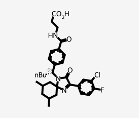 CCCC[C@H](c1ccc(C(=O)NCCC(=O)O)cc1)N1C(=O)C(c2ccc(F)c(Cl)c2)=NC12CC(C)CC(C)C2